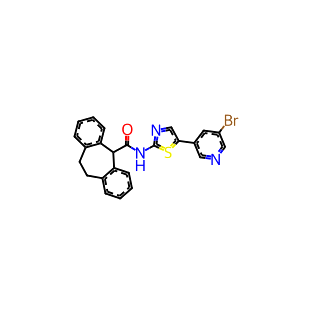 O=C(Nc1ncc(-c2cncc(Br)c2)s1)C1c2ccccc2CCc2ccccc21